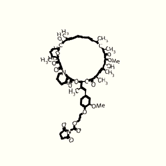 COC1C(=O)[C@H](C)C[C@H](C)/C=C/C=C/C=C(\C)[C@@H](O)C[C@@H]2CC[C@@H](C)[C@@](O)(O2)C(=O)C(=O)N2CCCC[C@H]2C(=O)O[C@H]([C@H](C)C[C@@H]2CCC(OCCOC(=O)N3C(=O)CCC3=O)[C@H](OC)C2)CC(=O)[C@H](C)/C=C(\C)[C@H]1O